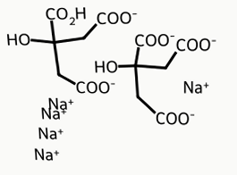 O=C([O-])CC(O)(CC(=O)[O-])C(=O)O.O=C([O-])CC(O)(CC(=O)[O-])C(=O)[O-].[Na+].[Na+].[Na+].[Na+].[Na+]